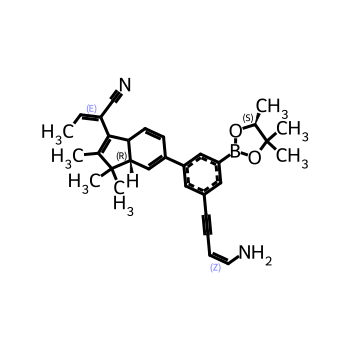 C/C=C(/C#N)C1=C(C)C(C)(C)[C@H]2C=C(c3cc(C#C/C=C\N)cc(B4O[C@@H](C)C(C)(C)O4)c3)C=CC12